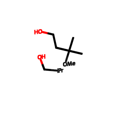 CC(C)CO.COC(C)(C)CCO